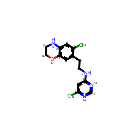 Clc1cc(NCCc2cc3c(cc2Cl)NCCO3)ncn1